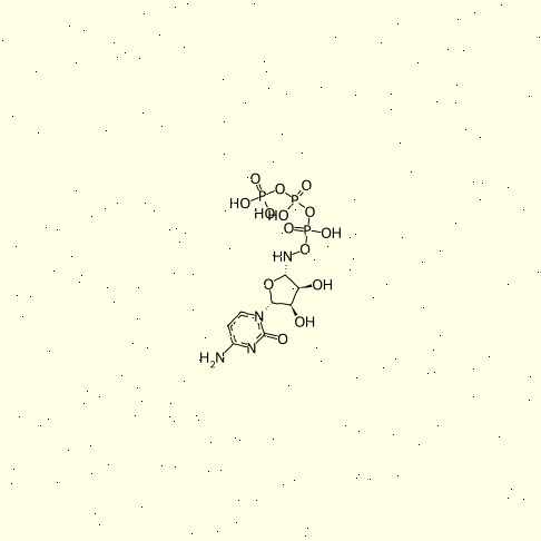 Nc1ccn([C@@H]2O[C@H](NOP(=O)(O)OP(=O)(O)OP(=O)(O)O)[C@@H](O)[C@H]2O)c(=O)n1